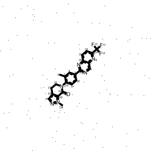 Cc1cc(-c2ncc3nc(C(F)(F)F)ccc3n2)ccc1N1CCc2cnn(C)c2C1=O